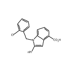 CCCc1cc2c(C(=O)O)cccc2n1Cc1ccccc1Cl